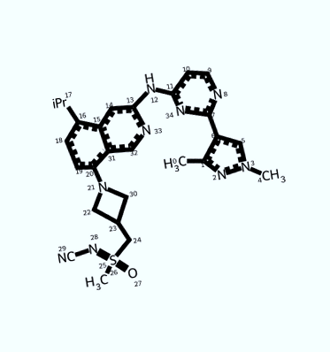 Cc1nn(C)cc1-c1nccc(Nc2cc3c(C(C)C)ccc(N4CC(CS(C)(=O)=NC#N)C4)c3cn2)n1